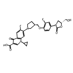 O=C(O)c1cn(C2CC2)c2cc(N3CC[C@@H](COc4ccc(N5C[C@H](CO)OC5=O)cc4F)C3)c(F)cc2c1=O